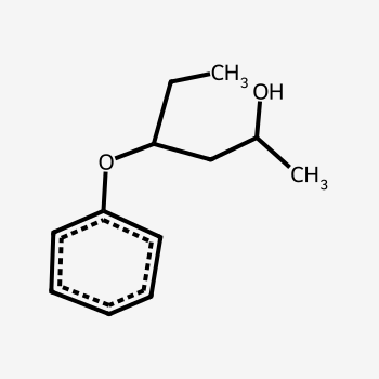 CCC(CC(C)O)Oc1ccccc1